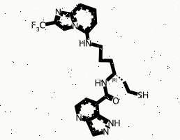 O=C(N[C@@H](CCS)CCCNc1cccc2nc(C(F)(F)F)cn12)c1ccnc2cn[nH]c12